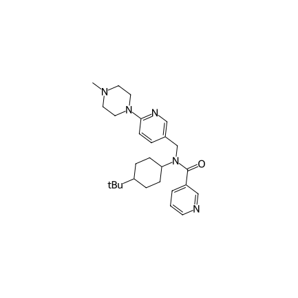 CN1CCN(c2ccc(CN(C(=O)c3cccnc3)C3CCC(C(C)(C)C)CC3)cn2)CC1